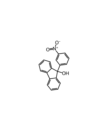 O=[N+]([O-])c1cccc(C2(O)c3ccccc3-c3ccccc32)c1